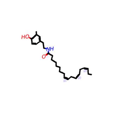 CC/C=C\C/C=C\C/C=C\CCCCCCCC(=O)NCCc1ccc(O)c(C)c1